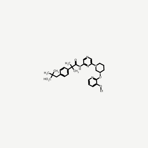 CCOc1cccnc1O[C@@H]1CCCN(c2cncc(NC(=O)C(C)(C)c3ccc(CC(C)(C)C(=O)O)cc3)n2)C1